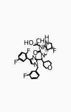 C[C@@H](CO)NC(=O)N(C[C@@H]1CNC[C@@H]1F)C(c1nc(-c2cc(F)ccc2F)cn1Cc1cccc(F)c1)C1CCOCC1